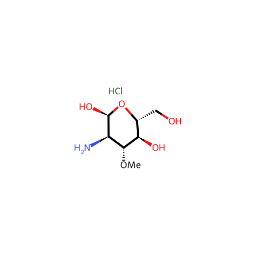 CO[C@@H]1[C@@H](N)[C@@H](O)O[C@H](CO)[C@H]1O.Cl